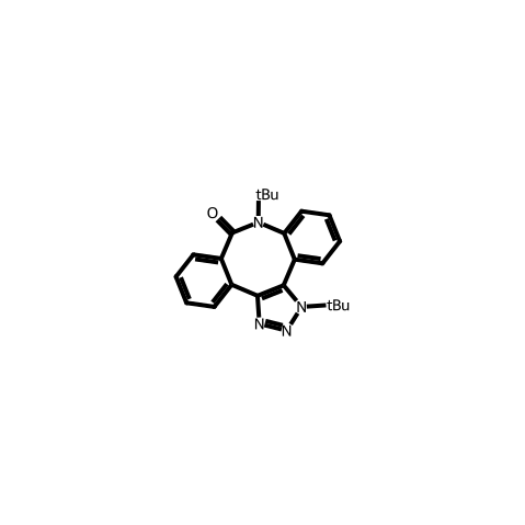 CC(C)(C)N1C(=O)c2ccccc2-c2nnn(C(C)(C)C)c2-c2ccccc21